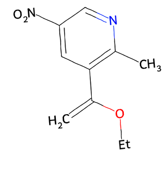 C=C(OCC)c1cc([N+](=O)[O-])cnc1C